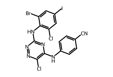 N#Cc1ccc(Nc2nc(Nc3c(Cl)cc(I)cc3Br)nnc2Cl)cc1